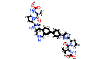 CC[C@H](NC(=O)OC)C(=O)N1CCC[C@H]1c1nc2c([nH]1)CNCc1cc(-c3ccc(-c4cnc([C@@H]5CCCN5C(=O)[C@@H](NC(=O)OC)C(C)C)[nH]4)cc3)ccc1-2